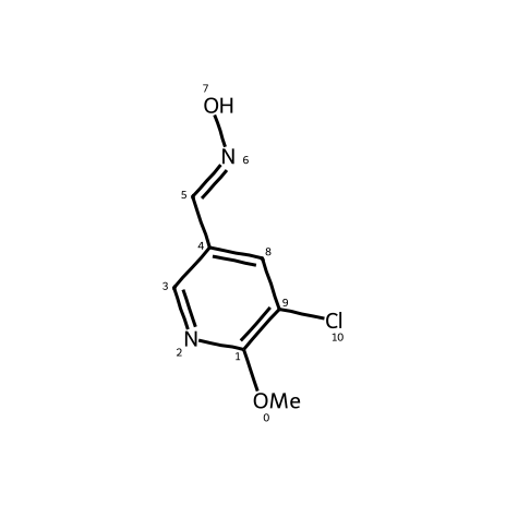 COc1ncc(C=NO)cc1Cl